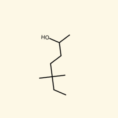 CCC(C)(C)CCC(C)O